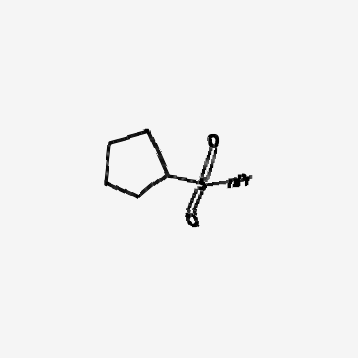 [CH2]CCS(=O)(=O)C1CCCC1